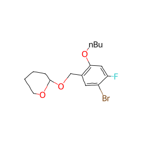 CCCCOc1cc(F)c(Br)cc1COC1CCCCO1